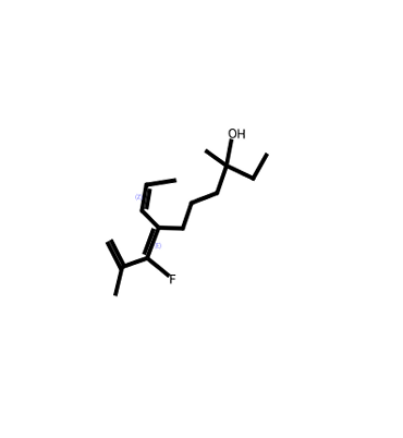 C=C(C)/C(F)=C(\C=C/C)CCCC(C)(O)CC